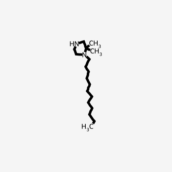 CCCCCCCCCCCCN1CCNCC1(C)C